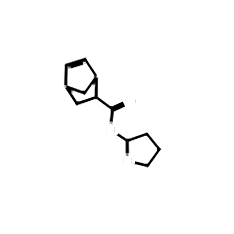 O=C(OC1CCCO1)C1CC2C=CC1C2